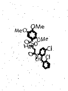 COc1cc(OC)c(S(=O)(=O)NCC(=O)N(C)c2ccc(Cl)cc2Cc2ccccc2Cl)cc1OC